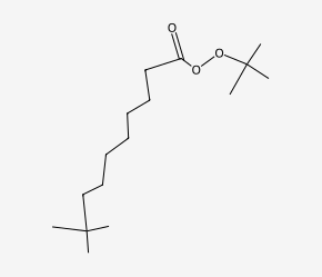 CC(C)(C)CCCCCCCC(=O)OOC(C)(C)C